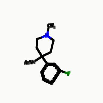 CC(=O)NC1(c2cccc(F)c2)CCN(C)CC1